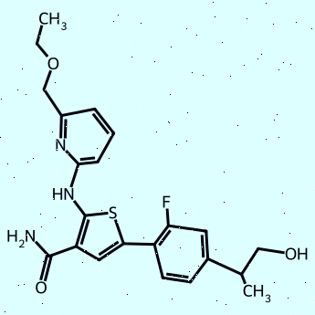 CCOCc1cccc(Nc2sc(-c3ccc(C(C)CO)cc3F)cc2C(N)=O)n1